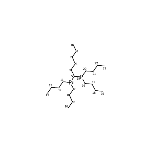 CCCCCC(P(CCCC)CCCC)P(CCCC)CCCC